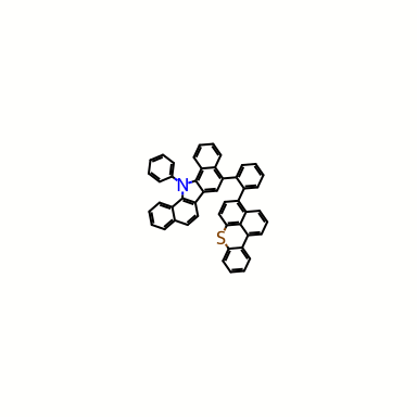 c1ccc(-n2c3c4ccccc4ccc3c3cc(-c4ccccc4-c4ccc5c6c(cccc46)-c4ccccc4S5)c4ccccc4c32)cc1